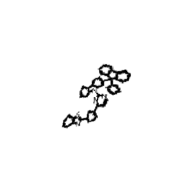 c1ccc(C2(c3ccc4c5ccccc5n(-c5nccc(-c6cccc(-c7nc8ccccc8s7)c6)n5)c4c3)c3ccccc3-c3ccccc32)cc1